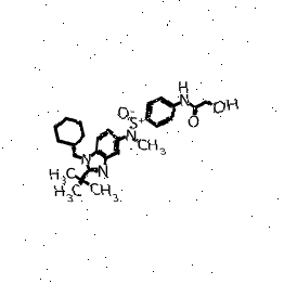 CN(c1ccc2c(c1)nc(C(C)(C)C)n2CC1CCCCC1)[S+]([O-])c1ccc(NC(=O)CO)cc1